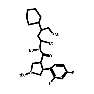 CCC(CC(CSC)C1CCCCC1)N(CC)C(=O)C1CN(C(C)(C)C)CC1c1ccc(F)cc1F